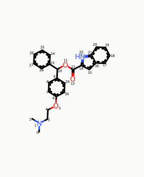 CN(C)CCOc1ccc(C(OC(=O)c2cc3ccccc3[nH]2)c2ccccc2)cc1